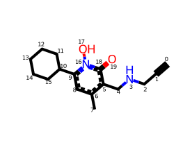 C#CCNCc1c(C)cc(C2CCCCC2)n(O)c1=O